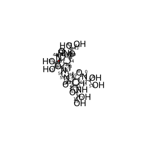 CN(CC(O)CO)C(=O)c1c(I)c(NC(=O)C(O)CO)c(I)c(C(=O)N2CCN(C(=O)C3=C(I)C=C(I)C(NC(=O)C(O)CO)(C(=O)N(C)CC(O)CO)C3I)CC2)c1I